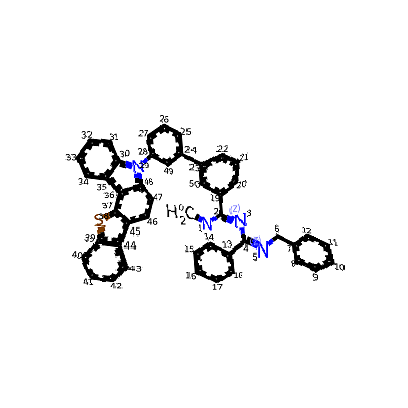 C=N/C(=N\C(=N/Cc1ccccc1)c1ccccc1)c1cccc(-c2cccc(-n3c4ccccc4c4c5sc6ccccc6c5ccc43)c2)c1